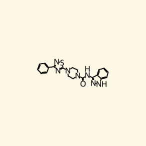 O=C(Nc1n[nH]c2ccccc12)N1CCN(c2nc(-c3ccccc3)ns2)CC1